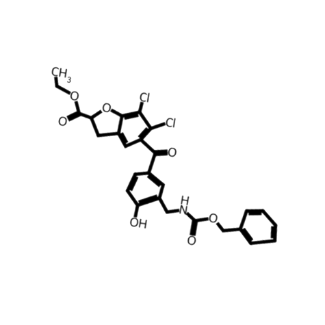 CCOC(=O)C1Cc2cc(C(=O)c3ccc(O)c(CNC(=O)OCc4ccccc4)c3)c(Cl)c(Cl)c2O1